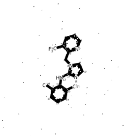 FC(F)(F)c1cccnc1Cn1ccnc1Nc1c(Cl)cccc1Cl